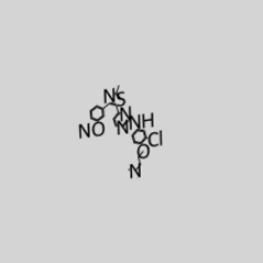 Cc1nc(-c2cccc(N=O)c2)c(-c2ccnc(Nc3ccc(OCCN(C)C)c(Cl)c3)n2)s1